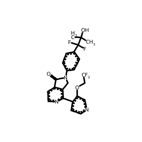 CC(C)(O)C(F)(F)c1ccc(N2Cc3c(ccnc3-c3ccncc3OCC(F)(F)F)C2=O)cc1